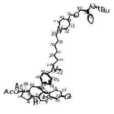 CC(=O)O[C@]1(C(C)=O)CC[C@H]2[C@@H]3CCC4=CC(=O)CCC4=C3[C@@H](c3ccc(N(C)CCCCCCCN4CCC(COCC(=O)OC(C)(C)C)CC4)cc3)C[C@@]21C